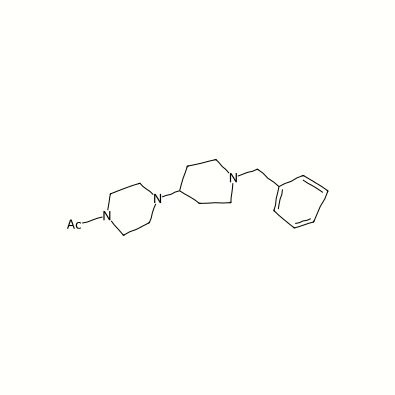 CC(=O)N1CCN(C2CCN(Cc3ccccc3)CC2)CC1